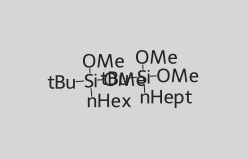 CCCCCCC[Si](OC)(OC)C(C)(C)C.CCCCCC[Si](OC)(OC)C(C)(C)C